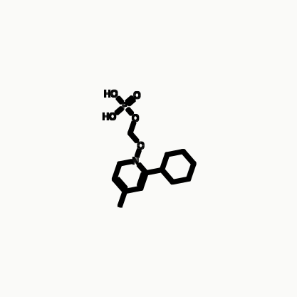 CC1=CCN(OCOP(=O)(O)O)C(C2CCCCC2)=C1